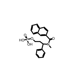 CN(C(=O)c1ccc2ccccc2c1)C(CCOP(=O)(O)O)c1ccccc1